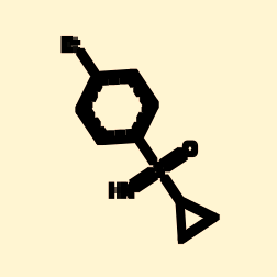 CCc1ccc(S(=N)(=O)C2CC2)cc1